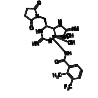 Cc1c(C(=O)NC2CN3C(=N)N[C@@H](CN4C(=O)CCC4=O)C4NC(=N)NC43C2(O)O)cccc1C(F)(F)F